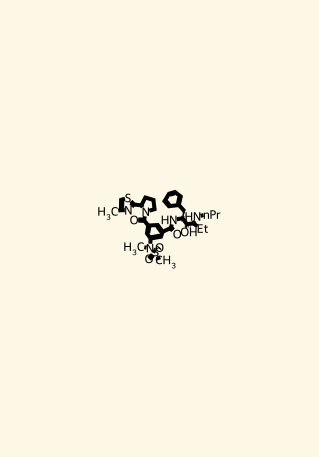 CCCNC(CC)[C@@H](O)[C@H](Cc1ccccc1)NC(=O)c1cc(C(=O)N2CCCC2c2nc(C)cs2)cc(N(C)S(C)(=O)=O)c1